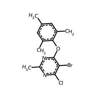 Cc1cc(C)c(Oc2nc(C)nc(Cl)c2Br)c(C)c1